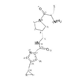 C[C@H](N)C(=O)N1CC[C@@H](CNC(=O)c2cc(C3CC3)on2)C1